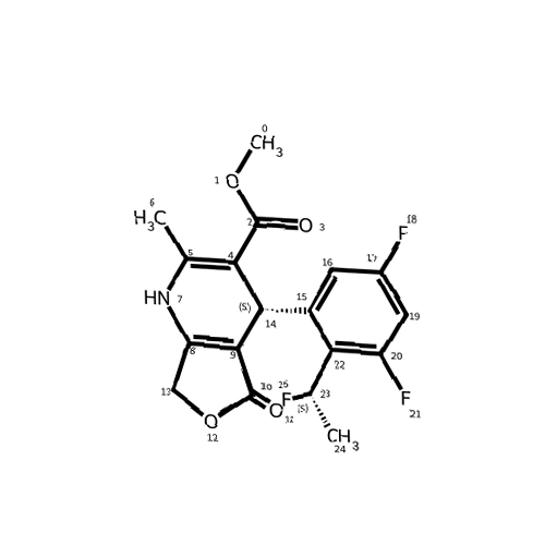 COC(=O)C1=C(C)NC2=C(C(=O)OC2)[C@H]1c1cc(F)cc(F)c1[C@H](C)F